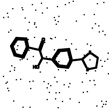 O=C(c1ccccc1)C(O)c1ccc(C2SCCS2)cc1